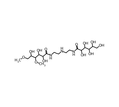 COCC(O)C(OC)C(O)C(O)C(=O)NCCNCCNC(=O)C(O)C(O)C(O)C(O)CO